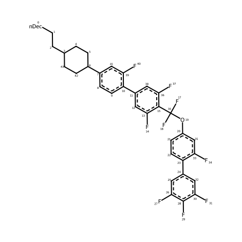 CCCCCCCCCCCCC1CCC(c2ccc(-c3cc(F)c(C(F)(F)Oc4ccc(-c5cc(F)c(F)c(F)c5)c(F)c4)c(F)c3)c(F)c2)CC1